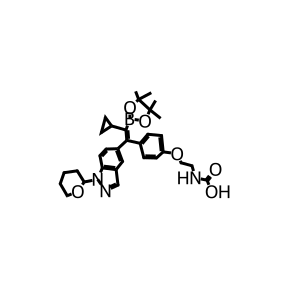 CC1(C)OB(/C(=C(\c2ccc(OCCNC(=O)O)cc2)c2ccc3c(cnn3C3CCCCO3)c2)C2CC2)OC1(C)C